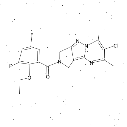 CCOc1c(F)cc(F)cc1C(=O)N1Cc2nn3c(C)c(Cl)c(C)nc3c2C1